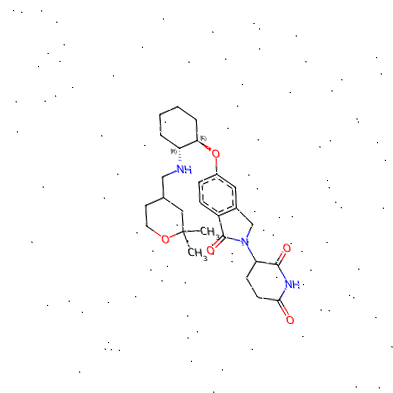 CC1(C)CC(CN[C@@H]2CCCC[C@H]2Oc2ccc3c(c2)CN(C2CCC(=O)NC2=O)C3=O)CCO1